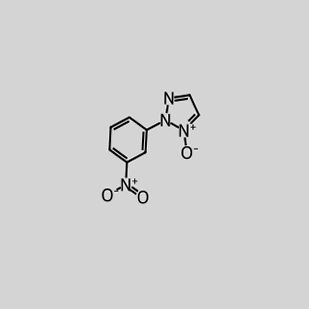 O=[N+]([O-])c1cccc(-n2ncc[n+]2[O-])c1